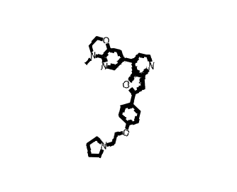 CN1CCOc2cc(-c3ccnc4cc(-c5ccc(OCCN6CCCC6)cc5)oc34)cnc21